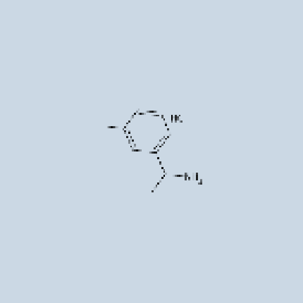 Cc1cccc(C(C)N)c1.Cl